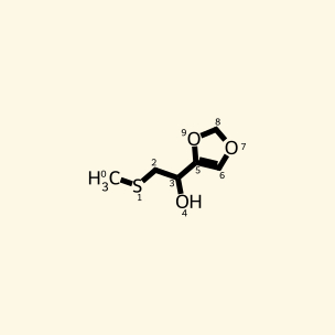 CSCC(O)C1=COCO1